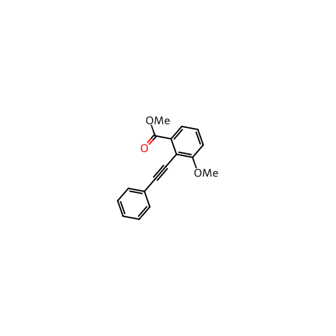 COC(=O)c1cccc(OC)c1C#Cc1ccccc1